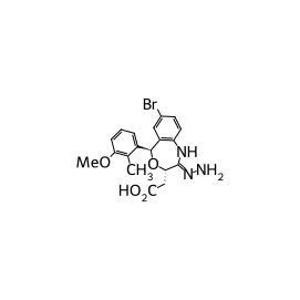 COc1cccc([C@@H]2O[C@@H](CC(=O)O)/C(=N/N)Nc3ccc(Br)cc32)c1C